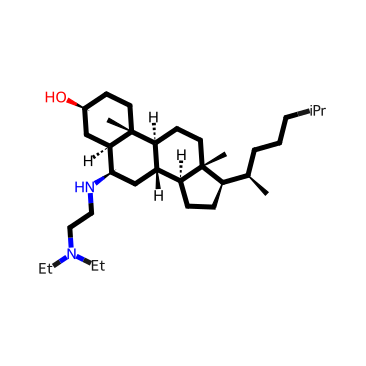 CCN(CC)CCN[C@@H]1C[C@@H]2[C@H](CC[C@]3(C)[C@@H]([C@H](C)CCCC(C)C)CC[C@@H]23)[C@@]2(C)CC[C@H](O)C[C@H]12